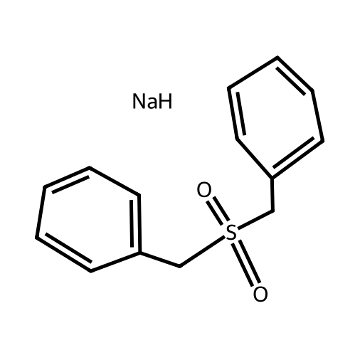 O=S(=O)(Cc1ccccc1)Cc1ccccc1.[NaH]